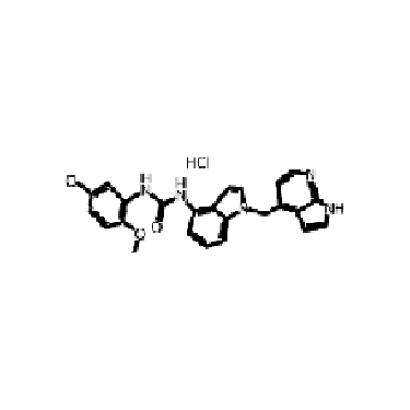 COc1ccc(Cl)cc1NC(=O)Nc1cccc2c1ccn2Cc1ccnc2[nH]ccc12.Cl